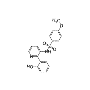 COc1ccc(S(=O)(=O)Nc2cccnc2-c2ccccc2O)cc1